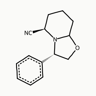 N#C[C@H]1CCCC2OC[C@H](c3ccccc3)N21